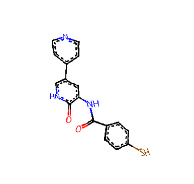 O=C(Nc1cc(-c2ccncc2)c[nH]c1=O)c1ccc(S)cc1